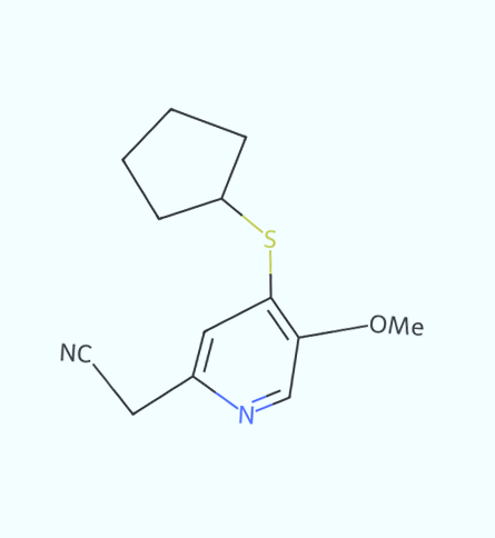 COc1cnc(CC#N)cc1SC1CCCC1